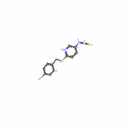 Fc1ccc(CSc2ccc(N=C=S)cn2)cc1